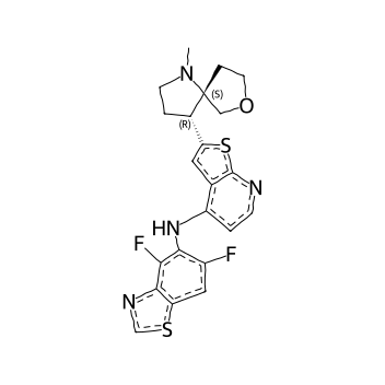 CN1CC[C@@H](c2cc3c(Nc4c(F)cc5scnc5c4F)ccnc3s2)[C@]12CCOC2